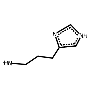 [NH]CCCc1c[nH]cn1